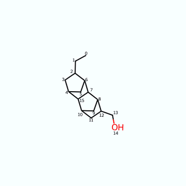 CCC1CC2CC1C1C3CC(CC3CO)C21